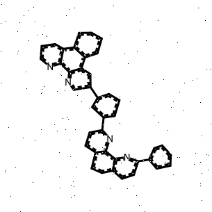 c1ccc(-c2ccc3ccc4ccc(-c5cccc(-c6cnc7c(c6)c6ccccc6c6cccnc67)c5)nc4c3n2)cc1